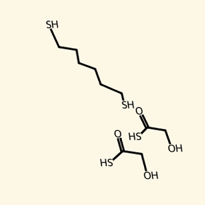 O=C(S)CO.O=C(S)CO.SCCCCCCS